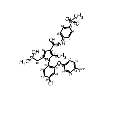 Cc1c(C(=O)Nc2ccc(S(C)(=O)=O)cc2)cc(C[C@H](C)O)n1-c1ccc(Cl)cc1Oc1ccc(F)cc1